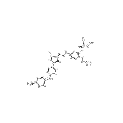 Cc1oc(-c2ccc(Nc3ccc(N)cc3)cc2)nc1CCOc1ccc(CCC(=O)O)c(CNC(=O)OC(C)C)c1